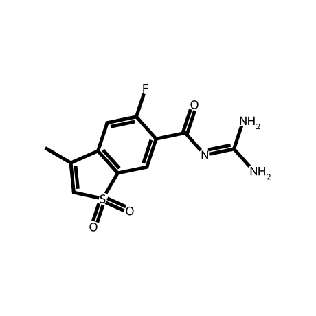 CC1=CS(=O)(=O)c2cc(C(=O)N=C(N)N)c(F)cc21